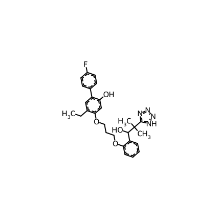 CCc1cc(-c2ccc(F)cc2)c(O)cc1OCCCOc1ccccc1C(O)C(C)(C)c1nnn[nH]1